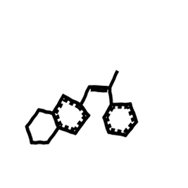 CC(=Cc1ccc2c(c1)CCCC2)c1ccccc1